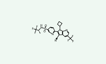 C[C@H](NS(=O)(=O)c1ccc(-c2c(C#N)c3cc(C(F)(F)F)cnc3n2C2CCC2)nc1)C(F)(F)F